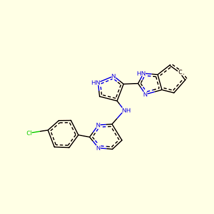 Clc1ccc(-c2nccc(Nc3c[nH]nc3-c3nc4ccccc4[nH]3)n2)cc1